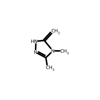 C=C1NN=C(C)N1C